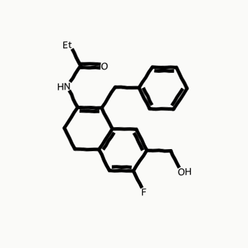 CCC(=O)NC1=C(Cc2ccccc2)c2cc(CO)c(F)cc2CC1